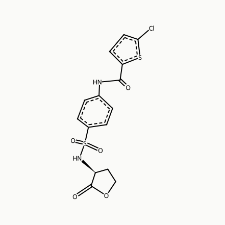 O=C(Nc1ccc(S(=O)(=O)N[C@H]2CCOC2=O)cc1)c1ccc(Cl)s1